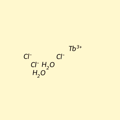 O.O.[Cl-].[Cl-].[Cl-].[Tb+3]